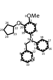 COc1ccc(N(Cc2cccnc2)c2ccccc2)cc1OC1CCCC1